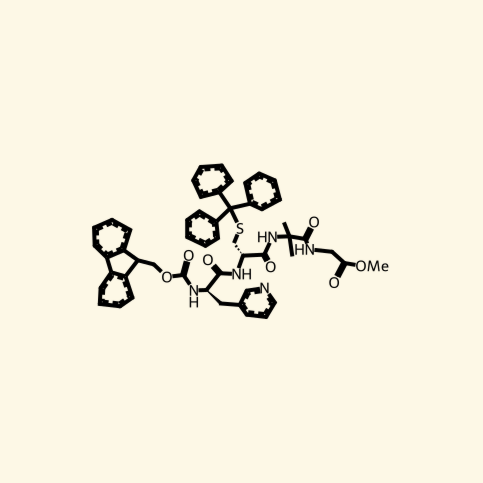 COC(=O)CNC(=O)C(C)(C)NC(=O)[C@@H](CSC(c1ccccc1)(c1ccccc1)c1ccccc1)NC(=O)[C@@H](Cc1cccnc1)NC(=O)OCC1c2ccccc2-c2ccccc21